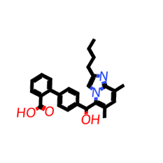 CCCCc1cn2c(C(O)c3ccc(-c4ccccc4C(=O)O)cc3)c(C)cc(C)c2n1